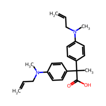 C=CCN(C)c1ccc(C(C)(C(=O)O)c2ccc(N(C)CC=C)cc2)cc1